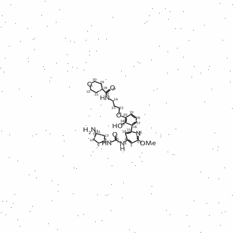 COc1cc(NC(=O)N[C@@H]2CC[C@H](N)C2)cc(-c2cccc(OCCCNC(=O)C3CCOCC3)c2O)n1